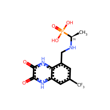 C[C@@H](NCc1cc(C(F)(F)F)cc2[nH]c(=O)c(=O)[nH]c12)P(=O)(O)O